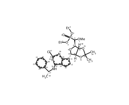 CCOP(=O)(OCC)C(OC)[C@@H]1O[C@@H](n2ccc3c(N[C@H](C)c4ccccc4)nc(Cl)nc32)[C@@H]2OC(C)(C)O[C@H]21